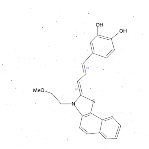 COCCN1/C(=C/C=C/c2ccc(O)c(O)c2)Sc2c1ccc1ccccc21